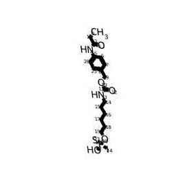 CCC(=O)Nc1ccc(COC(=O)NCCCCCCOP(O)(=S)I)cc1